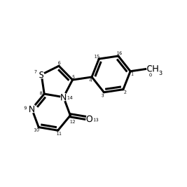 Cc1ccc(-c2csc3nccc(=O)n23)cc1